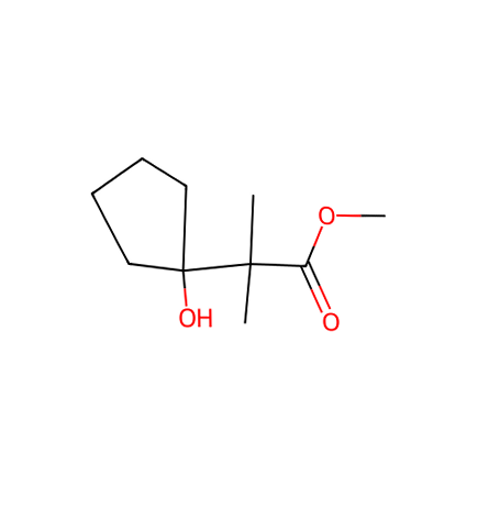 COC(=O)C(C)(C)C1(O)CCCC1